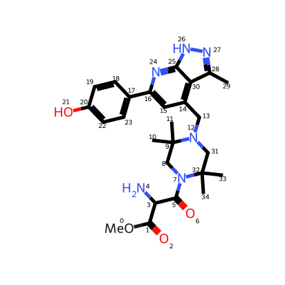 COC(=O)C(N)C(=O)N1CC(C)(C)N(Cc2cc(-c3ccc(O)cc3)nc3[nH]nc(C)c23)CC1(C)C